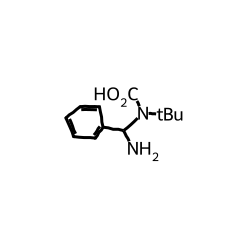 CC(C)(C)N(C(=O)O)C(N)c1ccccc1